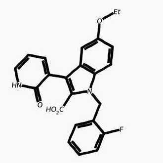 CCOc1ccc2c(c1)c(-c1ccc[nH]c1=O)c(C(=O)O)n2Cc1ccccc1F